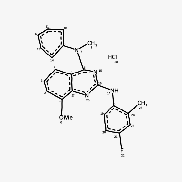 COc1cccc2c(N(C)c3ccccc3)nc(Nc3ccc(F)cc3C)nc12.Cl